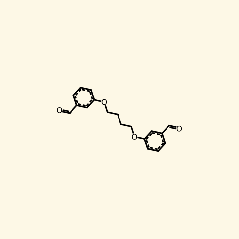 O=Cc1cccc(OCCCCOc2cccc(C=O)c2)c1